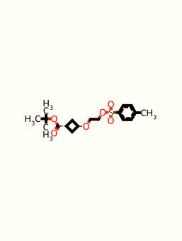 Cc1ccc(S(=O)(=O)OCCO[C@H]2C[C@@H](C(=O)OC(C)(C)C)C2)cc1